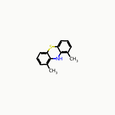 Cc1cccc2c1Nc1c(C)cccc1S2